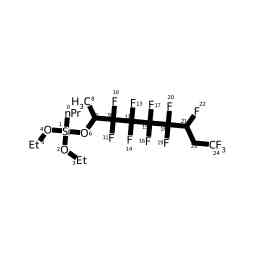 CCC[Si](OCC)(OCC)OC(C)C(F)(F)C(F)(F)C(F)(F)C(F)(F)C(F)CC(F)(F)F